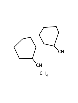 C.N#CC1CCCCC1.N#CC1CCCCC1